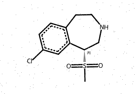 CS(=O)(=O)[C@H]1CNCCc2ccc(Cl)cc21